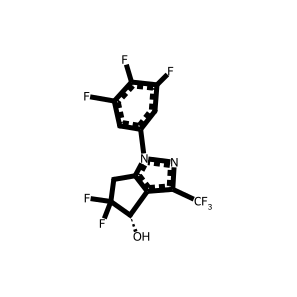 O[C@H]1c2c(C(F)(F)F)nn(-c3cc(F)c(F)c(F)c3)c2CC1(F)F